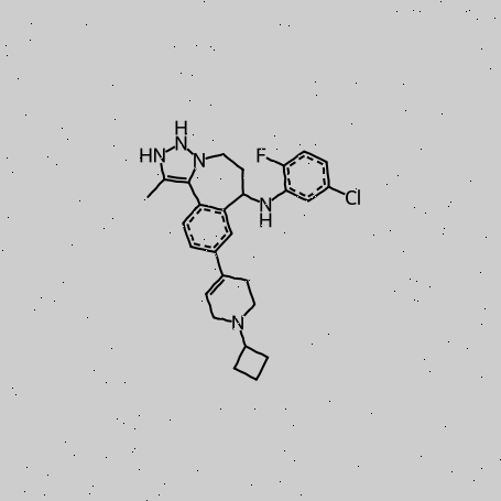 CC1=C2c3ccc(C4=CCN(C5CCC5)CC4)cc3C(Nc3cc(Cl)ccc3F)CCN2NN1